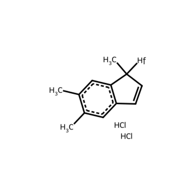 Cc1cc2c(cc1C)[C](C)([Hf])C=C2.Cl.Cl